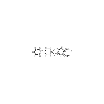 CCCc1cc(CC2(C)CCC(c3ccccc3)CC2)ccc1N